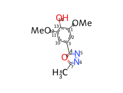 COc1cc(-c2nnc(C)o2)cc(OC)c1O